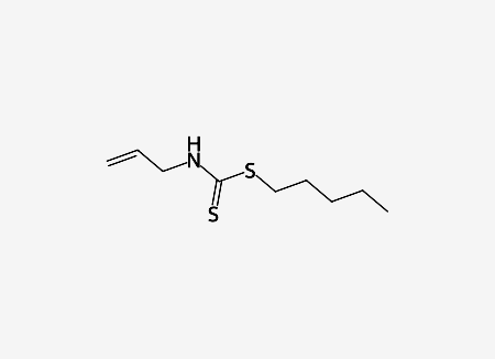 C=CCNC(=S)SCCCCC